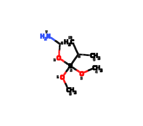 CO[Si](OC)(OCN)C(C)C